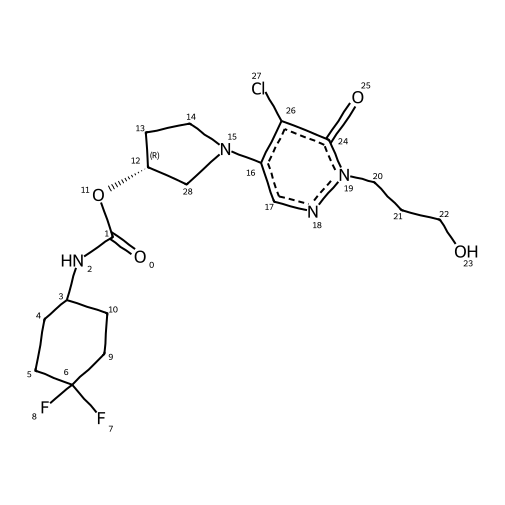 O=C(NC1CCC(F)(F)CC1)O[C@@H]1CCN(c2cnn(CCCO)c(=O)c2Cl)C1